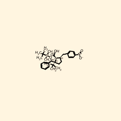 CC(C)(C)[C@@]1([C@H](O[Si](C)(C)C(C)(C)C)c2ccccc2)CC[C@H](Cc2ccc([N+](=O)[O-])cc2)N1C(=O)O